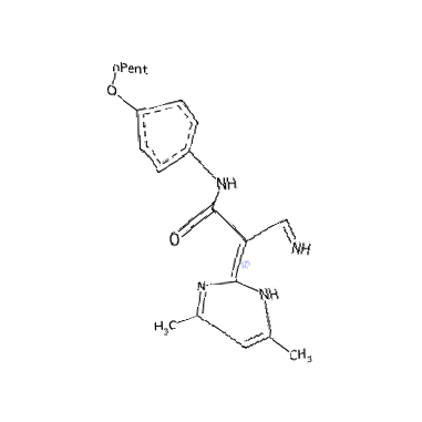 CCCCCOc1ccc(NC(=O)/C(C=N)=C2\N=C(C)C=C(C)N2)cc1